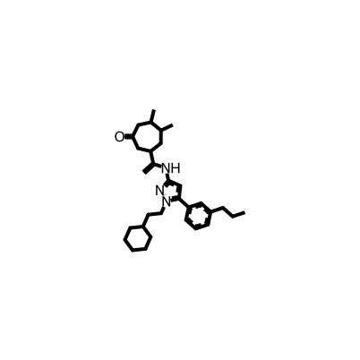 C=C(Nc1cc(-c2cccc(CCC)c2)n(CCC2CCCCC2)n1)C1CC(=O)CC(C)C(C)C1